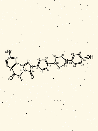 CC(C(=O)c1ccc(Br)cc1)n1ccn(-c2ccc(N3CCN(c4ccc(O)cc4)CC3)cc2)c1=O